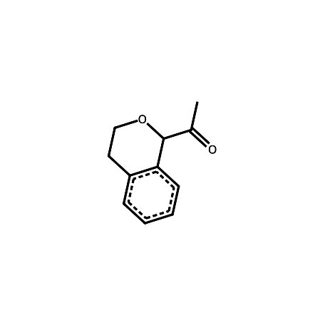 CC(=O)C1OCCc2ccccc21